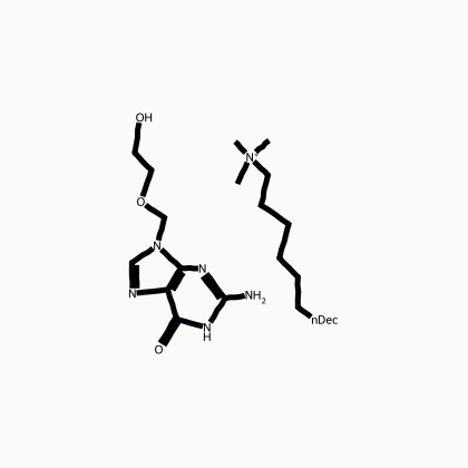 CCCCCCCCCCCCCCCC[N+](C)(C)C.Nc1nc2c(ncn2COCCO)c(=O)[nH]1